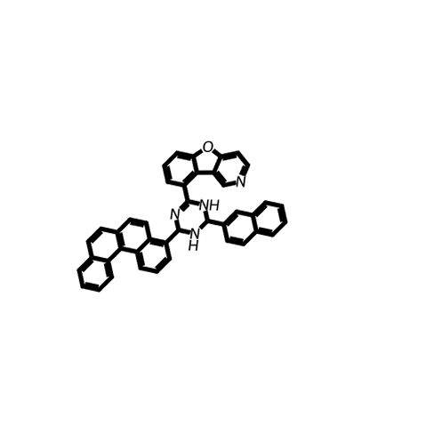 c1ccc2cc(C3NC(c4cccc5oc6ccncc6c45)=NC(c4cccc5c4ccc4ccc6ccccc6c45)N3)ccc2c1